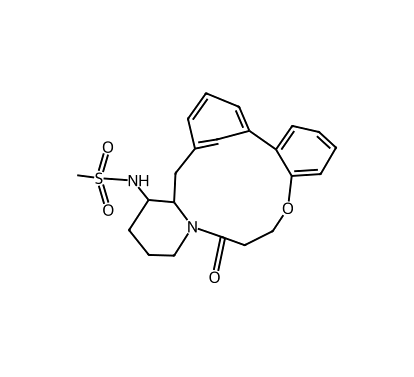 CS(=O)(=O)NC1CCCN2C(=O)CCOc3ccccc3-c3cccc(c3)CC12